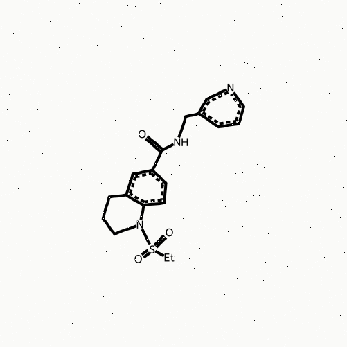 CCS(=O)(=O)N1CCCc2cc(C(=O)NCc3cccnc3)ccc21